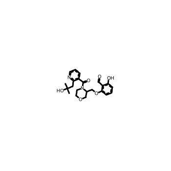 CC(C)(O)Cc1ncccc1C(=O)N1CCOCC1COc1cccc(O)c1C=O